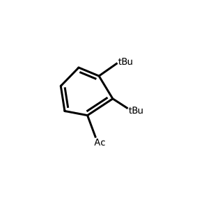 CC(=O)c1cccc(C(C)(C)C)c1C(C)(C)C